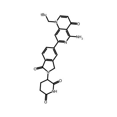 CC(C)(C)Cn1ccc(=O)c2c(N)nc(-c3ccc4c(c3)CN(C3CCC(=O)NC3=O)C4=O)cc21